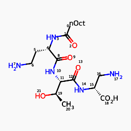 CCCCCCCCC(=O)N[C@@H](CCN)C(=O)N[C@H](C(=O)N[C@H](CN)C(=O)O)[C@@H](C)O